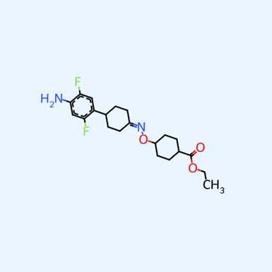 CCOC(=O)C1CCC(ON=C2CCC(c3cc(F)c(N)cc3F)CC2)CC1